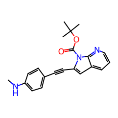 CNc1ccc(C#Cc2cc3cccnc3n2C(=O)OC(C)(C)C)cc1